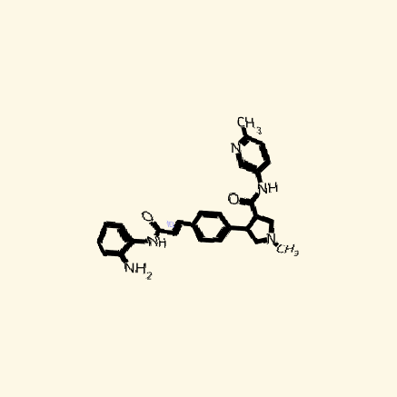 Cc1ccc(NC(=O)C2CN(C)CC2c2ccc(/C=C/C(=O)Nc3ccccc3N)cc2)cn1